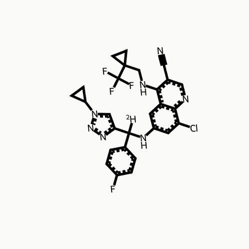 [2H]C(Nc1cc(Cl)c2ncc(C#N)c(NCC3(C(F)(F)F)CC3)c2c1)(c1ccc(F)cc1)c1cn(C2CC2)nn1